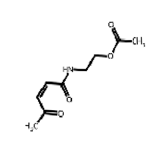 CC(=O)/C=C\C(=O)NCCOC(C)=O